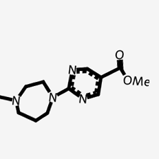 CCN1CCCN(c2ncc(C(=O)OC)cn2)CC1